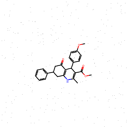 COC(=O)C1=C(C)NC2=C(C(=O)CC(c3ccccc3)C2)C1c1ccc(OC)cc1